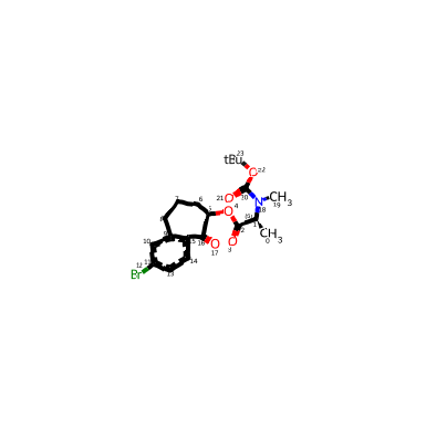 C[C@@H](C(=O)OC1CCCc2cc(Br)ccc2C1=O)N(C)C(=O)OC(C)(C)C